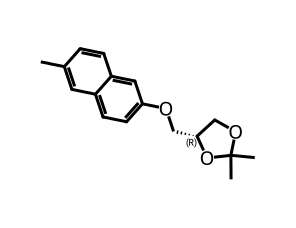 Cc1ccc2cc(OC[C@@H]3COC(C)(C)O3)ccc2c1